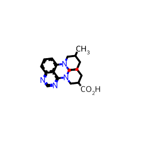 CC1CCCN(c2cccc3ncnc(N4CCCC(C(=O)O)C4)c23)C1